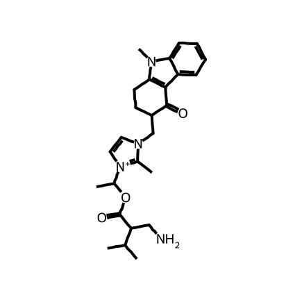 Cc1n(CC2CCc3c(c4ccccc4n3C)C2=O)cc[n+]1C(C)OC(=O)C(CN)C(C)C